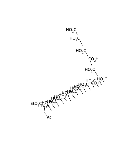 CC(=O)O.CC(=O)O.CC(=O)O.CC(=O)O.CC(=O)O.CC(=O)O.CC(=O)O.CC(=O)O.CC(=O)O.CC(=O)O.CC(=O)O.CC(=O)O.CC(=O)O.CC(=O)O.CC(=O)O.CC(=O)O.CC(=O)O.CC(=O)O.CC(=O)O.CCOC(=O)CCC(C)=O